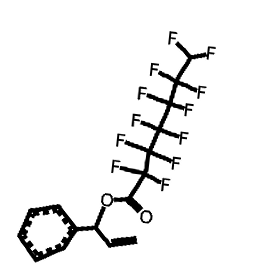 C=CC(OC(=O)C(F)(F)C(F)(F)C(F)(F)C(F)(F)C(F)(F)C(F)F)c1ccccc1